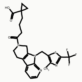 Cc1nc(C(F)(F)F)sc1Cn1c2c(c3cccnc31)CCN(C(=O)CCCC1(C(=O)O)CC1)C2